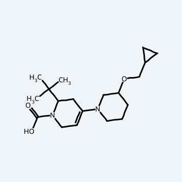 CC(C)(C)C1CC(N2CCCC(OCC3CC3)C2)=CCN1C(=O)O